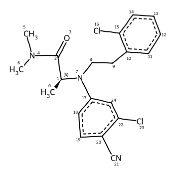 C[C@@H](C(=O)N(C)C)N(CCc1ccccc1Cl)c1ccc(C#N)c(Cl)c1